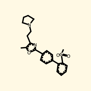 Cc1oc(-c2ccc(-c3ccccc3S(C)(=O)=O)cc2)nc1CCN1CCCC1